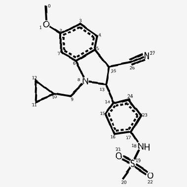 COc1ccc2c(c1)N(CC1CC1)C(c1ccc(NS(C)(=O)=O)cc1)C2C#N